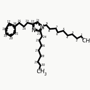 CCCCCCCCCCn1cc(CCCc2ccccc2)nc1CCCCCCCC